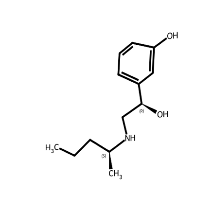 CCC[C@H](C)NC[C@H](O)c1cccc(O)c1